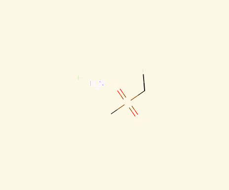 CC(C)CS(C)(=O)=O.Cl.N